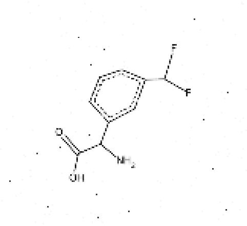 NC(C(=O)O)c1cccc(C(F)F)c1